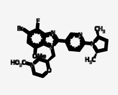 COc1cc(Br)c(F)c2nc(-c3ccc(N4[C@@H](C)CC[C@@H]4C)nc3)n(C[C@@H]3CN(C(=O)O)CCO3)c12